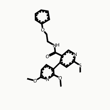 COc1ccc(-c2cc(SC)ncc2C(=O)NCCOc2ccccc2)c(OC)n1